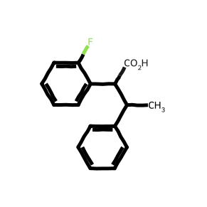 CC(c1ccccc1)C(C(=O)O)c1ccccc1F